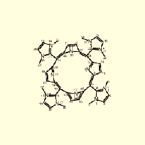 Cn1cc[n+](C)c1-c1c2nc(c(-c3n(C)cc[n+]3C)c3ccc([nH]3)c(-c3n(C)cc[n+]3C)c3nc(c(-c4n(C)cc[n+]4C)c4ccc1[nH]4)C=C3)C=C2